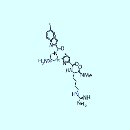 CNC(=O)C(CCCCNC(=N)N)NC(=O)c1csc([C@@H]2C[C@@H](N)CN2C(=O)c2cn3cc(I)ccc3n2)n1